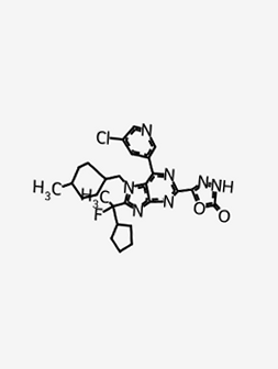 CC1CCC(Cn2c(C(C)(F)C3CCCC3)nc3nc(-c4n[nH]c(=O)o4)nc(-c4cncc(Cl)c4)c32)CC1